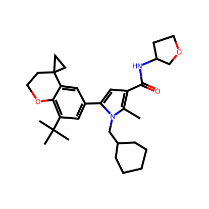 Cc1c(C(=O)NC2CCOC2)cc(-c2cc(C(C)(C)C)c3c(c2)C2(CCO3)CC2)n1CC1CCCCC1